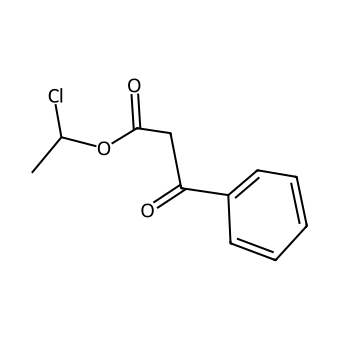 CC(Cl)OC(=O)CC(=O)c1ccccc1